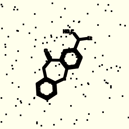 CCC(C(=O)O)c1ccc2c(c1)C(=O)Cc1ccccc1S2